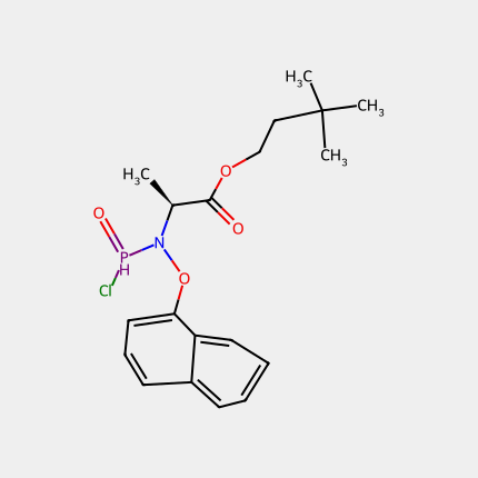 C[C@@H](C(=O)OCCC(C)(C)C)N(Oc1cccc2ccccc12)[PH](=O)Cl